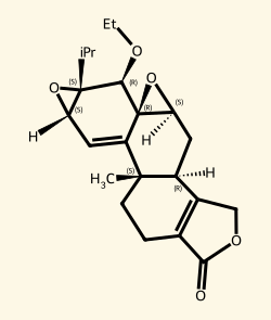 CCO[C@H]1[C@]23O[C@H]2C[C@H]2C4=C(CC[C@]2(C)C3=C[C@@H]2O[C@@]21C(C)C)C(=O)OC4